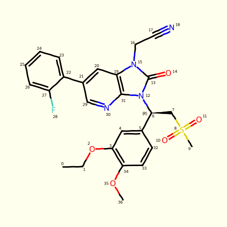 CCOc1cc([C@H](CS(C)(=O)=O)n2c(=O)n(CC#N)c3cc(-c4ccccc4F)cnc32)ccc1OC